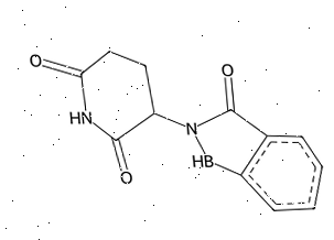 O=C1CCC(N2Bc3ccccc3C2=O)C(=O)N1